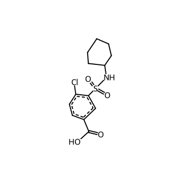 O=C(O)c1ccc(Cl)c(S(=O)(=O)NC2CCCCC2)c1